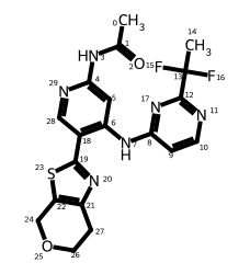 CC(=O)Nc1cc(Nc2ccnc(C(C)(F)F)n2)c(-c2nc3c(s2)COCC3)cn1